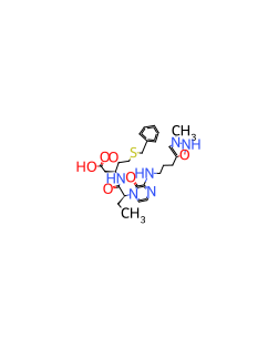 CC[C@@H](C(=O)N[C@@H](CC(=O)O)C(=O)CSCc1ccccc1)n1ccnc(NCCCC2=CN(C)NO2)c1=O